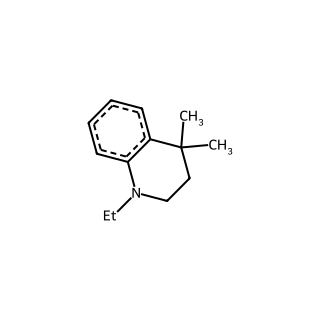 CCN1CCC(C)(C)c2ccccc21